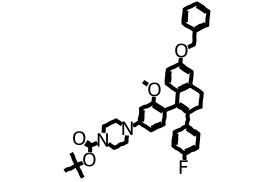 COc1cc(N2CCN(C(=O)OC(C)(C)C)CC2)ccc1C1=C(c2ccc(F)cc2)CCc2cc(OCc3ccccc3)ccc21